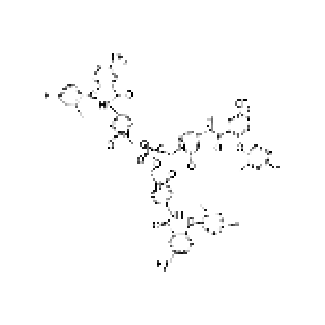 Cc1cc(F)ccc1Oc1ccc(C(F)(F)F)cc1C(=O)Nc1ccn(COP(=O)(OCn2ccc(NC(=O)c3cc(C(F)(F)F)ccc3Oc3ccc(F)cc3C)cc2=O)OCn2ccc(NC(=O)c3cc(C(F)(F)F)ccc3Oc3ccc(F)cc3C)cc2=O)c(=O)c1